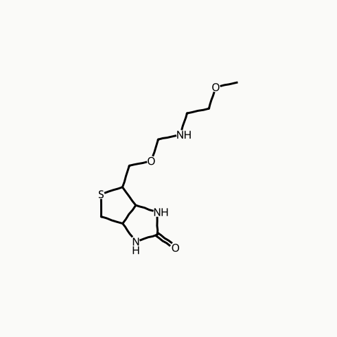 COCCNCOCC1SCC2NC(=O)NC21